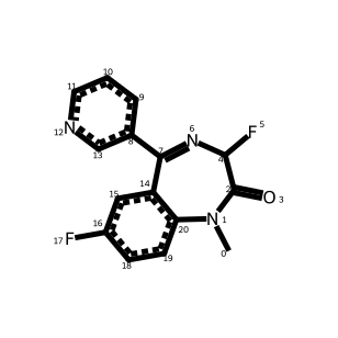 CN1C(=O)C(F)N=C(c2cccnc2)c2cc(F)ccc21